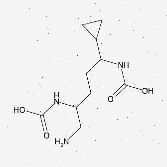 NCC(CCC(NC(=O)O)C1CC1)NC(=O)O